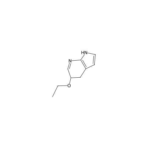 CCOC1C=Nc2[nH]ccc2C1